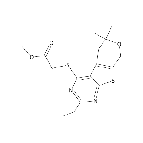 CCc1nc(SCC(=O)OC)c2c3c(sc2n1)COC(C)(C)C3